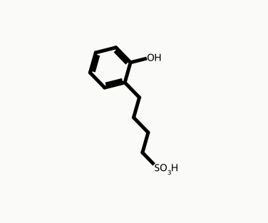 O=S(=O)(O)CCCCc1ccccc1O